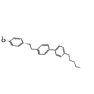 CCCCCc1ccc(-c2ccc(CCc3ccc(OC)cc3)cc2)cc1